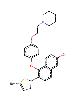 CCC1=CCC(c2ccc3cc(O)ccc3c2Oc2ccc(OCCN3CCCCC3)cc2)S1